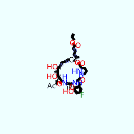 C=CCOC(=O)/C=C/C=C(\C)[C@@H]1C/C=C/C=C/[C@H](O)[C@H](C)[C@@H](O)[C@@H](CCC(C)=O)C(=O)N[C@@H](C(C)C)C(=O)N[C@@H](Cc2cc(O)cc(F)c2)C(=O)N2CCCC(N2)C(=O)O1